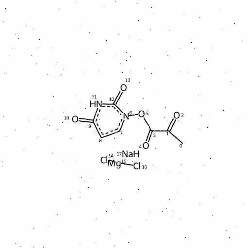 CC(=O)C(=O)On1ccc(=O)[nH]c1=O.[Cl][Mg][Cl].[NaH]